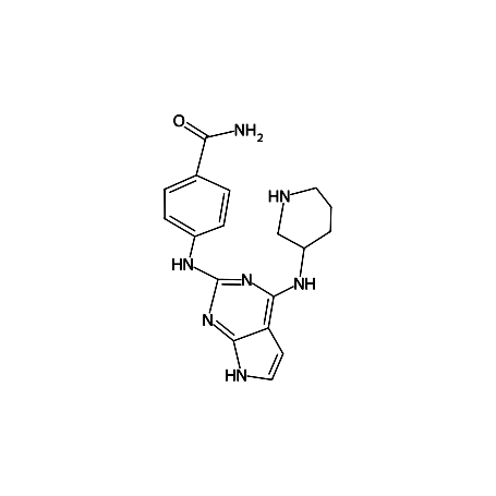 NC(=O)c1ccc(Nc2nc(NC3CCCNC3)c3cc[nH]c3n2)cc1